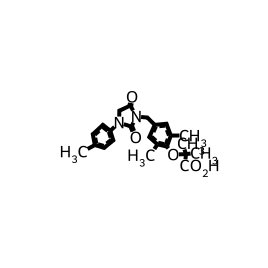 Cc1ccc(N2CC(=O)N(Cc3cc(C)c(OC(C)(C)C(=O)O)c(C)c3)C2=O)cc1